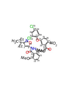 CCC(C)(CC)c1cc(NC(=O)c2c(OC)cccc2OC)on1.COC(=O)c1cc(Oc2ccc(Cl)cc2Cl)ccc1[N+](=O)[O-]